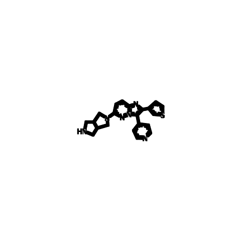 c1cc(-c2c(-c3ccsc3)nc3ccc(N4CC5CNCC5C4)nn23)ccn1